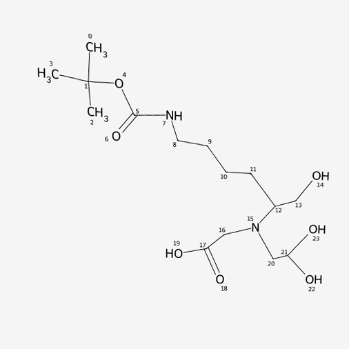 CC(C)(C)OC(=O)NCCCCC(CO)N(CC(=O)O)CC(O)O